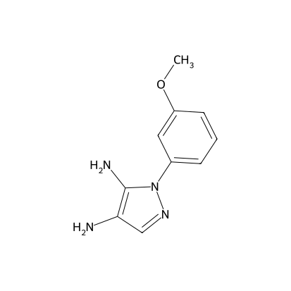 COc1cccc(-n2ncc(N)c2N)c1